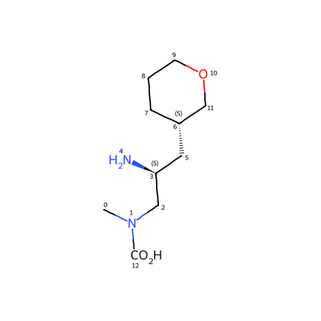 CN(C[C@@H](N)C[C@@H]1CCCOC1)C(=O)O